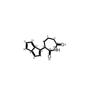 O=C1CCCC(C2=CC=C3C=CC=C32)C(=O)N1